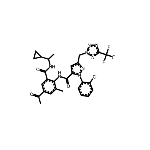 CC(=O)c1cc(C)c(NC(=O)c2cc(Cn3nnc(C(F)(F)F)n3)nn2-c2ccccc2Cl)c(C(=O)NC(C)C2CC2)c1